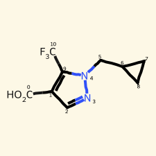 O=C(O)c1cnn(CC2CC2)c1C(F)(F)F